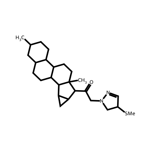 CSC1C=NN(CC(=O)C2C3CC3C3C4CCC5CC(C)CCC5C4CCC23C)C1